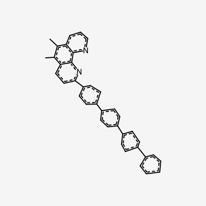 Cc1c(C)c2ccc(-c3ccc(-c4ccc(-c5ccc(-c6ccccc6)cc5)cc4)cc3)nc2c2ncccc12